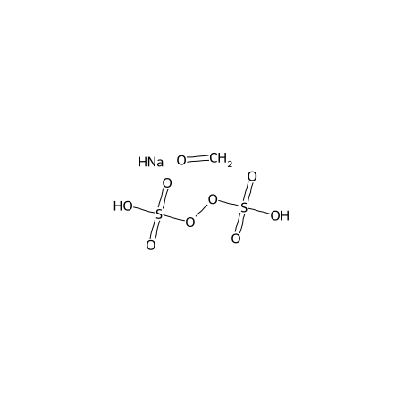 C=O.O=S(=O)(O)OOS(=O)(=O)O.[NaH]